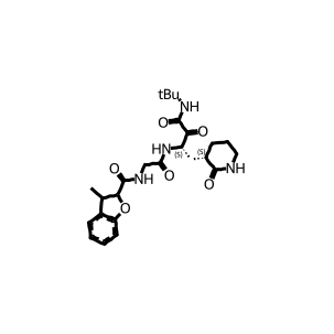 CC1c2ccccc2OC1C(=O)NCC(=O)N[C@@H](C[C@@H]1CCCNC1=O)C(=O)C(=O)NC(C)(C)C